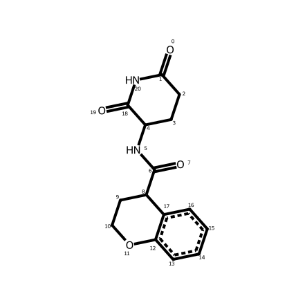 O=C1CCC(NC(=O)C2CCOc3ccccc32)C(=O)N1